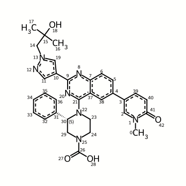 Cn1cc(-c2ccc3nc(-c4cnn(CC(C)(C)O)c4)nc(N4CCN(C(=O)O)C[C@@H]4c4ccccc4)c3c2)ccc1=O